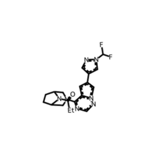 CCC(=O)N1C2CCC1CN(c1ncnn3cc(-c4cnn(C(F)F)c4)cc13)C2